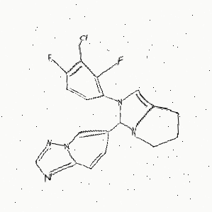 Fc1ccc(N2C=C3CCCN3C2c2ccc3ncnn3c2)c(F)c1Cl